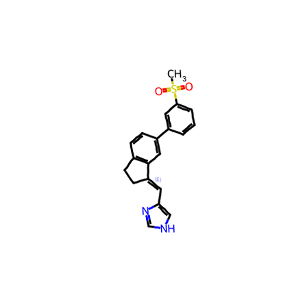 CS(=O)(=O)c1cccc(-c2ccc3c(c2)/C(=C/c2c[nH]cn2)CC3)c1